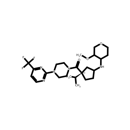 COC1COCCC1NC1CC[C@@](C(=O)N2CCN(c3nccc(C(F)(F)F)n3)CC2)(C(C)C)C1